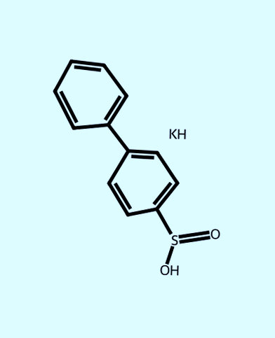 O=S(O)c1ccc(-c2ccccc2)cc1.[KH]